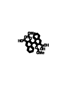 COCOc1c(B(O)O)cc2ccccc2c1-c1c(OCOC)c(B(O)O)cc2ccccc12